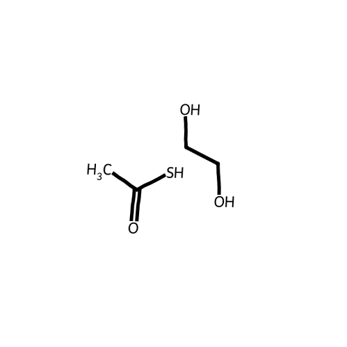 CC(=O)S.OCCO